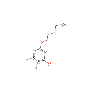 CCCCCCCCCCCCOc1cc(O)c(F)c(F)c1